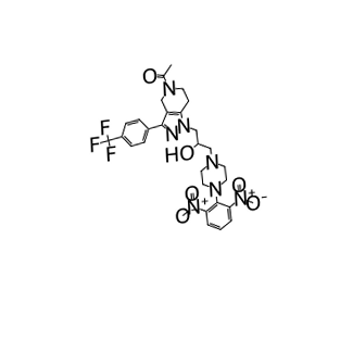 CC(=O)N1CCc2c(c(-c3ccc(C(F)(F)F)cc3)nn2CC(O)CN2CCN(c3c([N+](=O)[O-])cccc3[N+](=O)[O-])CC2)C1